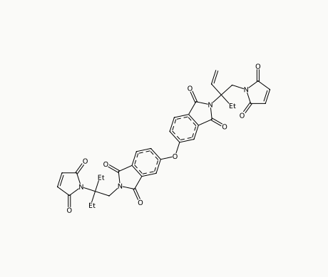 C=CC(CC)(CN1C(=O)C=CC1=O)N1C(=O)c2ccc(Oc3ccc4c(c3)C(=O)N(CC(CC)(CC)N3C(=O)C=CC3=O)C4=O)cc2C1=O